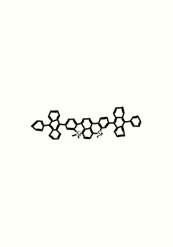 C[Si]1(C)c2cc(-c3c4ccccc4c(-c4ccccc4)c4ccccc34)ccc2-c2ccc3c4c(ccc1c24)[Si](C)(C)c1cc(-c2c4ccccc4c(-c4ccccc4)c4ccccc24)ccc1-3